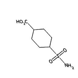 NS(=O)(=O)C1CCC(C(=O)O)CC1